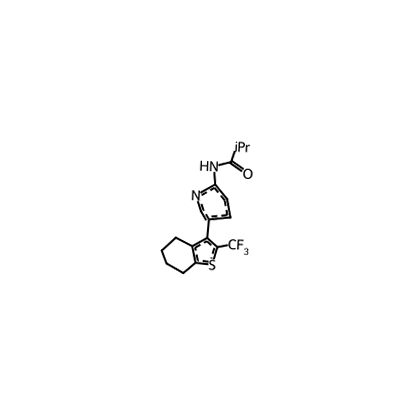 CC(C)C(=O)Nc1ccc(-c2c(C(F)(F)F)sc3c2CCCC3)cn1